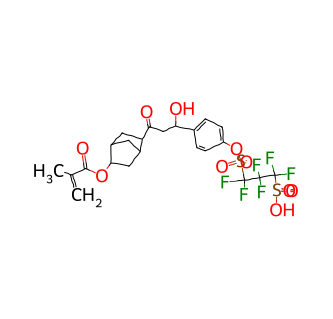 C=C(C)C(=O)OC1CC2CC1CC2C(=O)CC(O)c1ccc(OS(=O)(=O)C(F)(F)C(F)(F)C(F)(F)S(=O)(=O)O)cc1